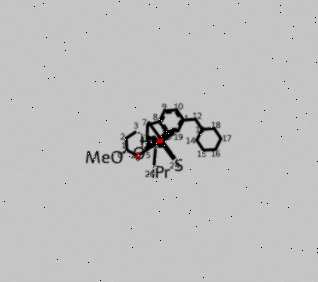 CO[C@H]1CC[C@]2(CC1)Cc1ccc(CC3CCCCC3)cc1C21NC(=S)N(C(C)C)C1=O